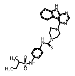 CCC(C)S(=O)(=O)Nc1ccc(NC(=S)N2CCN(c3ncnc4[nH]c5ccccc5c34)CC2)cc1